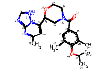 CC1=NC2=NCNN2C(C2CN(C(=O)c3cc(C)c(OC(C)C)c(C)c3)CCO2)=C1